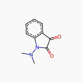 CN(C)N1C(=O)C(=O)c2ccccc21